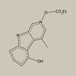 CCOC(=O)On1cc2nc3cccc(O)c3c-2c(C)c1